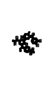 CC[C@H](c1ccc(S(C)(=O)=O)cc1)N1C[C@@H](C(=O)NC)n2nc3c(c2C1=O)CN(C(=O)c1ccc(Cl)c(Cl)c1)[C@H](C)C3